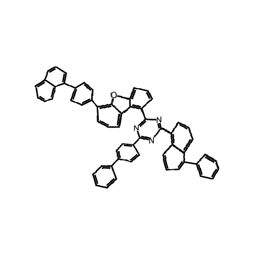 c1ccc(-c2ccc(-c3nc(-c4cccc5c(-c6ccccc6)cccc45)nc(-c4cccc5oc6c(-c7ccc(-c8cccc9ccccc89)cc7)cccc6c45)n3)cc2)cc1